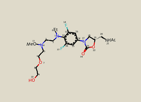 CCN(CCN(CCOCCO)OC)c1c(F)cc(N2C[C@H](CNC(C)=O)OC2=O)cc1F